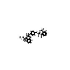 CSc1ccccc1NC(=O)NCC1CCC(Nc2nc(N(C)C)c3ccccc3n2)CC1